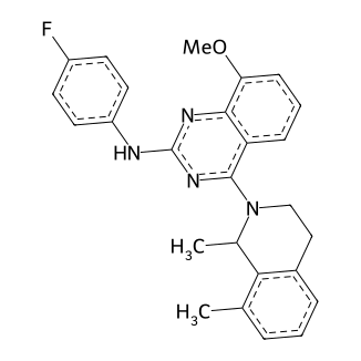 COc1cccc2c(N3CCc4cccc(C)c4C3C)nc(Nc3ccc(F)cc3)nc12